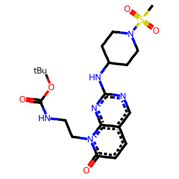 CC(C)(C)OC(=O)NCCn1c(=O)ccc2cnc(NC3CCN(S(C)(=O)=O)CC3)nc21